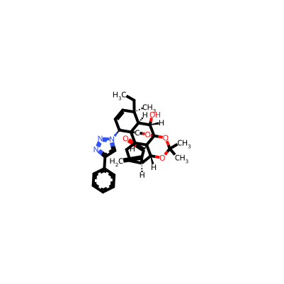 C=C1C(=O)[C@@]23[C@@H]4OC(C)(C)OC25OC[C@]2([C@@H](n6cc(-c7ccccc7)nn6)C=C[C@@](C)(CC)[C@H]2[C@@H]5O)[C@@H]3CC[C@@H]14